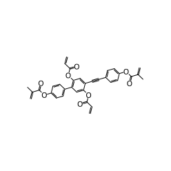 C=CC(=O)Oc1cc(-c2ccc(OC(=O)C(=C)C)cc2)c(OC(=O)C=C)cc1C#Cc1ccc(OC(=O)C(=C)C)cc1